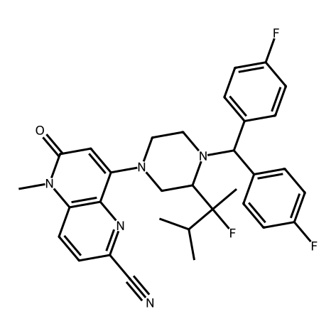 CC(C)C(C)(F)C1CN(c2cc(=O)n(C)c3ccc(C#N)nc23)CCN1C(c1ccc(F)cc1)c1ccc(F)cc1